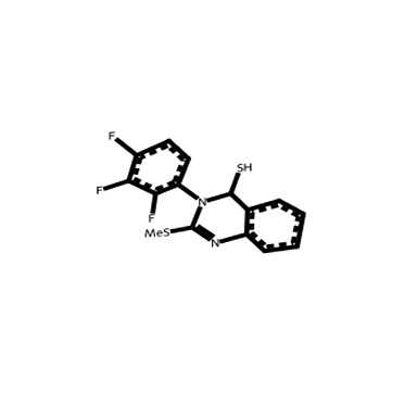 CSC1=Nc2ccccc2C(S)N1c1ccc(F)c(F)c1F